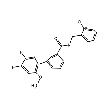 COc1cc(F)c(F)cc1-c1cccc(C(=O)NCc2cccc[n+]2[O-])c1